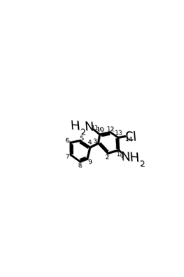 Nc1cc(-c2ccccc2)c(N)cc1Cl